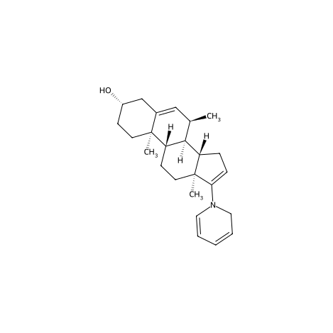 C[C@@H]1C=C2C[C@@H](O)CC[C@]2(C)[C@H]2CC[C@]3(C)C(N4C=CC=CC4)=CC[C@H]3[C@H]12